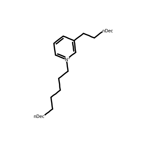 CCCCCCCCCCCCCCC[n+]1cccc(CCCCCCCCCCCC)c1